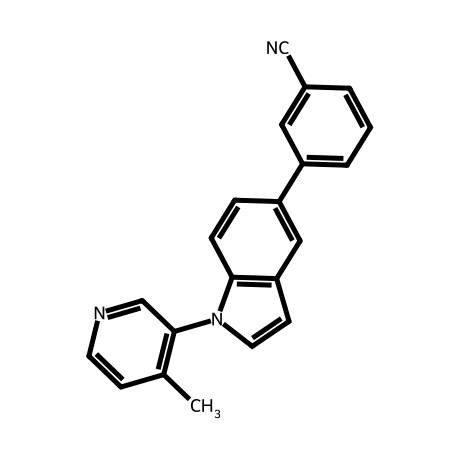 Cc1ccncc1-n1ccc2cc(-c3cccc(C#N)c3)ccc21